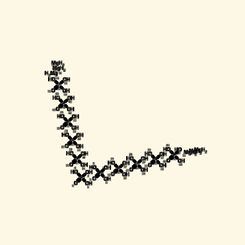 O=P(O)(O)O.O=P(O)(O)O.O=P(O)(O)O.O=P(O)(O)O.O=P(O)(O)O.O=P(O)(O)O.O=P(O)(O)O.O=P(O)(O)O.O=P(O)(O)O.O=P(O)(O)O.O=P(O)(O)O.[MgH2].[MgH2].[MgH2].[MgH2].[MgH2].[MgH2]